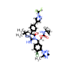 Cc1ncnn1-c1cc([C@@H](COC(=O)NC2(C)CC2)N2C(=N)N[C@](CC(C)(C)C)(c3ccc(-c4cnn(C(F)F)c4)cc3)C2=O)ccc1Cl